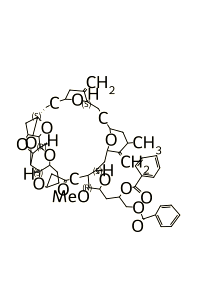 C=C1C(C)CC2CC[C@@H]3OC(CC[C@@]45CC6OC7C(O4)[C@H]4OC(CCC4O[C@H]7C6O5)CC(=O)CC4[C@@H](OC)C(CC(COC(=O)c5ccccc5)OC(=O)c5ccccc5)O[C@H]4CC1O2)CC3=C